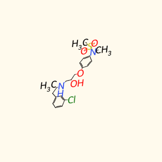 C[C@H](Cc1cccc(Cl)c1)NC[C@@H](O)COc1ccc(N(C)S(C)(=O)=O)cc1